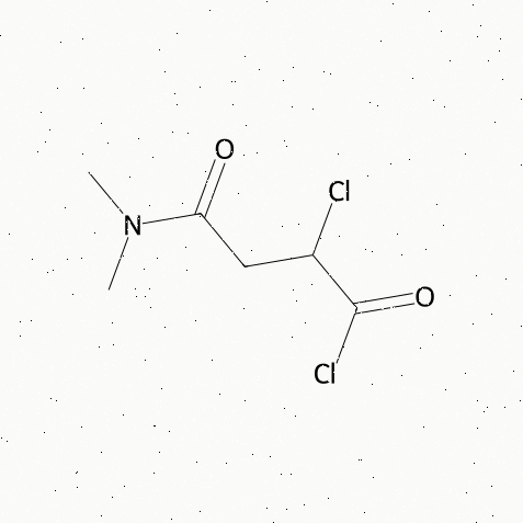 CN(C)C(=O)CC(Cl)C(=O)Cl